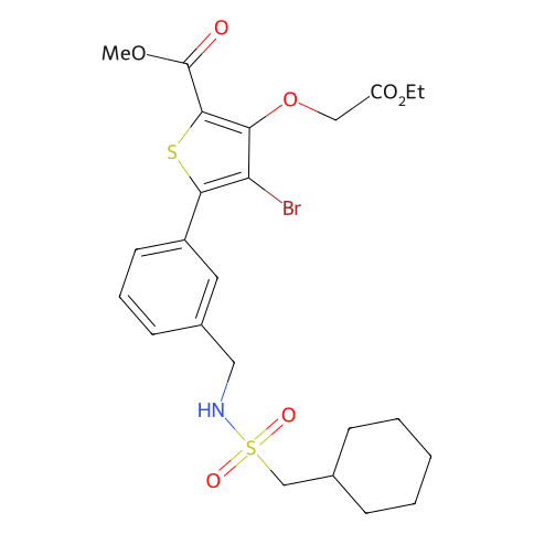 CCOC(=O)COc1c(C(=O)OC)sc(-c2cccc(CNS(=O)(=O)CC3CCCCC3)c2)c1Br